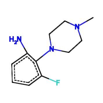 CN1CCN(c2c(N)cccc2F)CC1